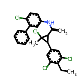 C=C(Nc1ccc(Cl)c(-c2ccccc2)c1)C1C(c2cc(Cl)c(CC)c(Cl)c2)C1(C)Cl